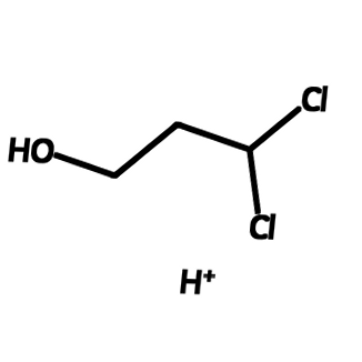 OCCC(Cl)Cl.[H+]